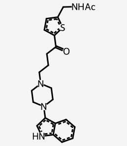 CC(=O)NCc1ccc(C(=O)CCCN2CCN(c3c[nH]c4ccccc34)CC2)s1